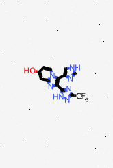 Oc1ccn2c(-c3c[nH]cn3)c(-c3nc(C(F)(F)F)n[nH]3)nc2c1